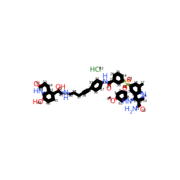 COc1cccc(Nc2c(C(N)=O)cnc3c(C)cc(S(=O)(=O)c4cccc(C(=O)Nc5ccc(C#CCCCNCC(O)c6ccc(O)c7[nH]c(=O)ccc67)cc5)c4)cc23)c1.Cl